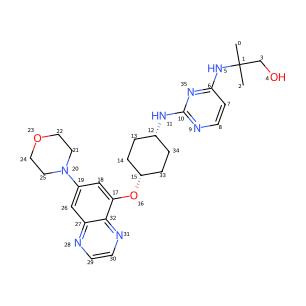 CC(C)(CO)Nc1ccnc(N[C@H]2CC[C@@H](Oc3cc(N4CCOCC4)cc4nccnc34)CC2)n1